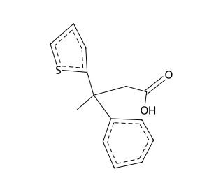 CC(CC(=O)O)(c1ccccc1)c1cccs1